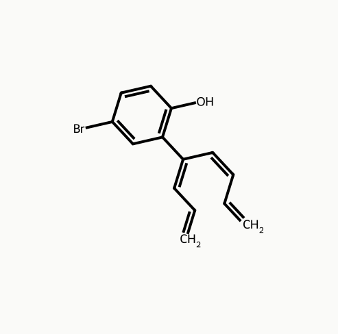 C=C/C=C\C(=C/C=C)c1cc(Br)ccc1O